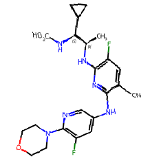 C[C@@H](Nc1nc(Nc2cnc(N3CCOCC3)c(F)c2)c(C#N)cc1F)[C@@H](NC(=O)O)C1CC1